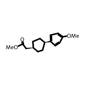 COC(=O)C[C@H]1CC[C@@H](c2ccc(OC)cc2)CC1